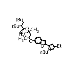 CCCCn1cc(CC)cc1-c1cc2ccc(OC(C)CC(C)(C)OC(=O)C(CC(C)(C)C)C(C)(C)C)cc2o1